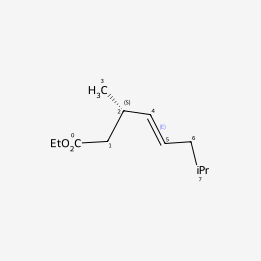 CCOC(=O)C[C@H](C)/C=C/CC(C)C